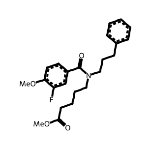 COC(=O)CCCCN(CCCc1ccccc1)C(=O)c1ccc(OC)c(F)c1